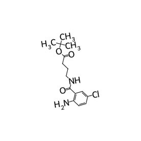 CC(C)(C)OC(=O)CCCNC(=O)c1cc(Cl)ccc1N